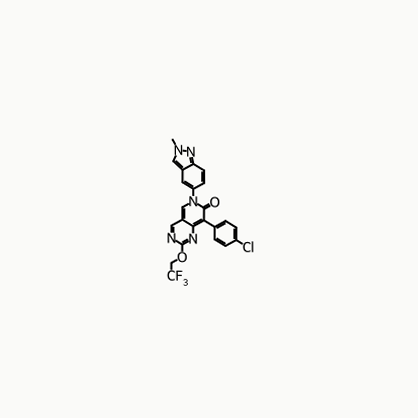 Cn1cc2cc(-n3cc4cnc(OCC(F)(F)F)nc4c(-c4ccc(Cl)cc4)c3=O)ccc2n1